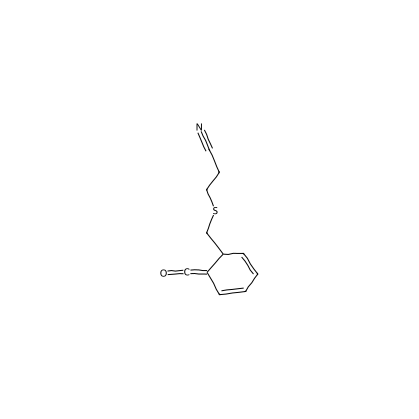 N#CCCSCC1C=CC=CC1=C=O